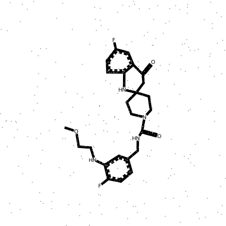 COCCNc1cc(CNC(=O)N2CCC3(CC2)CC(=O)c2cc(F)ccc2N3)ccc1F